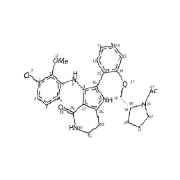 COc1c(Cl)cccc1Nc1c(-c2ccncc2OC[C@H]2CCCN2C(C)=O)[nH]c2c1C(=O)NCC2